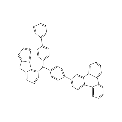 c1ccc(-c2ccc(N(c3ccc(-c4ccc5c6ccccc6c6ccccc6c5c4)cc3)c3cccc4sc5ccncc5c34)cc2)cc1